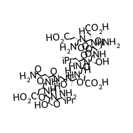 CC(C)C[C@H](NC(=O)[C@H](CCC(=O)O)NC(=O)[C@H](C)NC(=O)CNC(=O)[C@H](CCC(N)=O)NC(=O)[C@H](CCC(=O)O)NC(=O)[C@@H](NC(=O)[C@@H](N)C(C)C)[C@@H](C)O)C(=O)N[C@@H](CO)C(=O)N[C@@H](CC(N)=O)C(=O)N[C@@H](CCC(=O)O)C(=O)N[C@@H](CCC(=O)O)C(N)=O